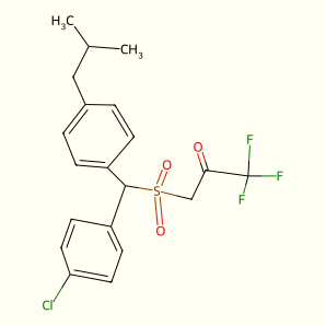 CC(C)Cc1ccc(C(c2ccc(Cl)cc2)S(=O)(=O)CC(=O)C(F)(F)F)cc1